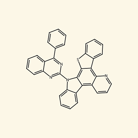 c1ccc(-c2nc(-n3c4ccccc4c4c5cccnc5c5c6ccccc6sc5c43)nc3ccccc23)cc1